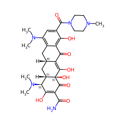 CN1CCN(C(=O)c2cc(N(C)C)c3c(c2O)C(=O)C2=C(O)[C@]4(O)C(=O)C(C(N)=O)=C(O)[C@@H](N(C)C)[C@@H]4C[C@@H]2C3)CC1